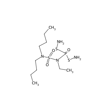 CCCCN(CCCC)S(=O)(=O)N(CC)P(=O)(SN)SN